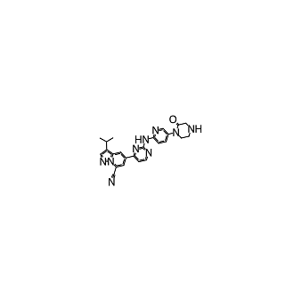 CC(C)c1cnn2c(C#N)cc(-c3ccnc(Nc4ccc(N5CCNCC5=O)cn4)n3)cc12